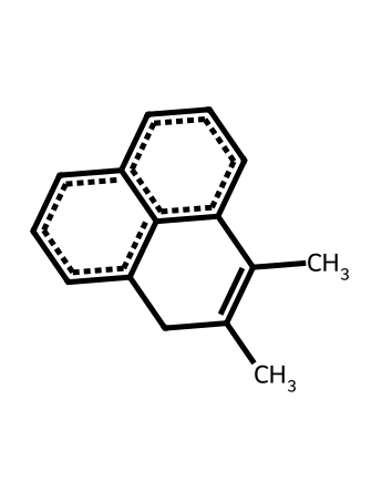 CC1=C(C)c2cccc3cccc(c23)C1